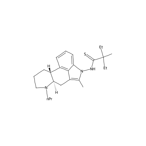 CCCN1CCC[C@@H]2c3cccc4c3c(c(C)n4NC(=S)C(C)(CC)CC)C[C@H]21